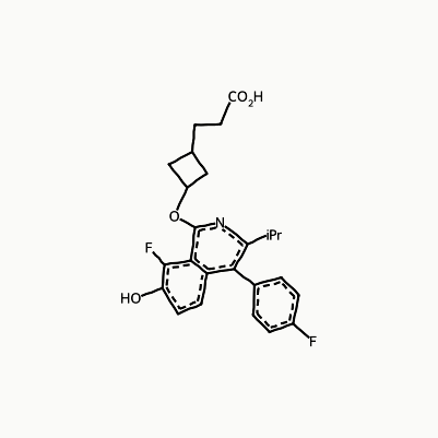 CC(C)c1nc(OC2CC(CCC(=O)O)C2)c2c(F)c(O)ccc2c1-c1ccc(F)cc1